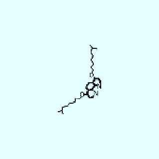 CC(C)CCCCCCOc1ccnc2c1ccc1c(OCCCCCCC(C)C)ccnc12